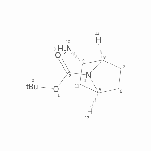 CC(C)(C)OC(=O)N1[C@H]2CC[C@@H]1[C@@H](N)C2